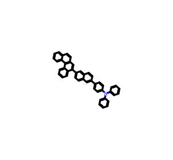 c1ccc(N(c2ccccc2)c2ccc(-c3ccc4cc(-c5cc6ccc7ccccc7c6c6ccccc56)ccc4c3)cc2)cc1